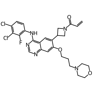 C=CC(=O)N1CC(c2cc3c(Nc4ccc(Cl)c(Cl)c4F)ncnc3cc2OCCCN2CCOCC2)C1